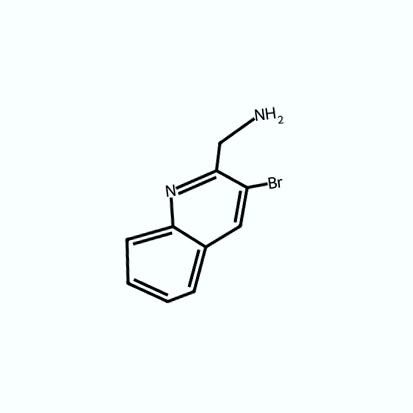 NCc1nc2ccccc2cc1Br